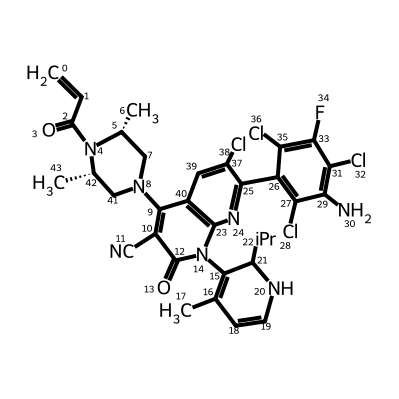 C=CC(=O)N1[C@H](C)CN(c2c(C#N)c(=O)n(C3=C(C)C=CNC3C(C)C)c3nc(-c4c(Cl)c(N)c(Cl)c(F)c4Cl)c(Cl)cc23)C[C@@H]1C